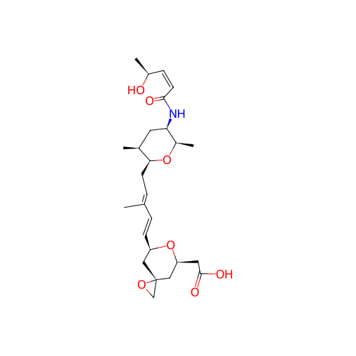 CC(/C=C/[C@@H]1C[C@]2(CO2)C[C@H](CC(=O)O)O1)=C\C[C@@H]1O[C@H](C)[C@H](NC(=O)/C=C\[C@H](C)O)C[C@@H]1C